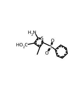 Cc1c(S(=O)(=O)c2ccccc2)sc(N)c1C(=O)O